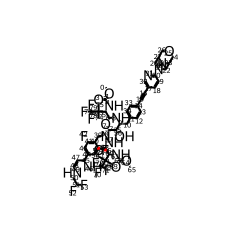 COC(=O)N[C@H](C(=O)N[C@@H](Cc1ccc(C#Cc2ccc(N3CC4COCC(C3)N4C)nc2)cc1)[C@@H](O)CN(Cc1c(F)cc(C(=N)/C=C\NCC(F)F)cc1F)NC(=O)[C@@H](NC(=O)OC)C(C)(C)C(F)(F)F)C(C)(C)C(F)(F)F